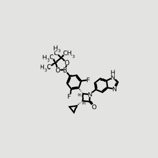 CC1(C)OB(c2cc(F)c([C@H]3[C@@H](C4CC4)C(=O)N3c3ccc4[nH]cnc4c3)c(F)c2)OC1(C)C